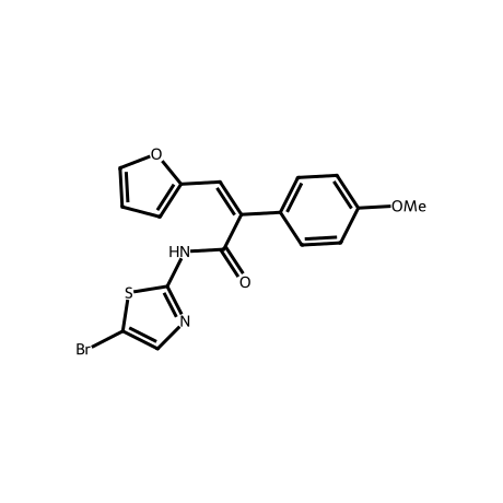 COc1ccc(C(=Cc2ccco2)C(=O)Nc2ncc(Br)s2)cc1